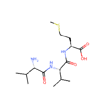 CSCC[C@H](NC(=O)[C@@H](NC(=O)[C@@H](N)C(C)C)C(C)C)C(=O)O